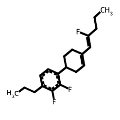 CCC/C(F)=C/C1=CCC(c2ccc(CCC)c(F)c2F)CC1